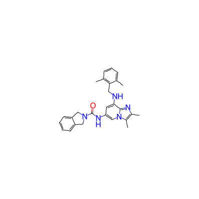 Cc1cccc(C)c1CNc1cc(NC(=O)N2Cc3ccccc3C2)cn2c(C)c(C)nc12